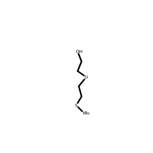 CC(C)(C)SCCOCCO